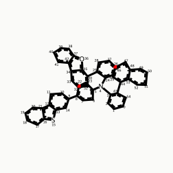 c1ccc(N(c2ccc(-c3ccc4c(c3)sc3ccccc34)cc2)c2ccccc2-c2cccc3c2oc2ccccc23)c(-c2cccc3ccccc23)c1